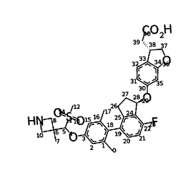 Cc1cc(OC(C2(C)CNC2)S(C)(=O)=O)cc(C)c1-c1ccc(F)c2c1CC[C@H]2Oc1ccc2c(c1)OC[C@H]2CC(=O)O